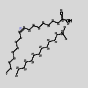 CCCCCCCC/C=C\CCCCCCCC(=O)O.CCCCCCCCCCCCN(C)C